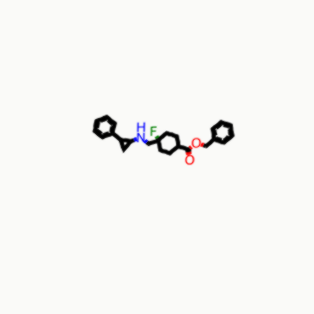 O=C(OCc1ccccc1)C1CCC(F)(CNC2CC2c2ccccc2)CC1